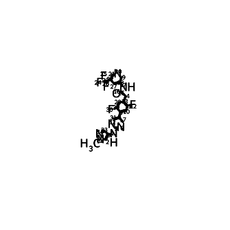 Cn1cc(Nc2ncc(-c3cc(F)c(CC(=O)Nc4cncc(C(F)(F)F)c4)cc3F)cn2)cn1